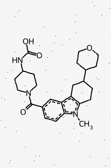 Cn1c2c(c3cc(C(=O)N4CCC(NC(=O)O)CC4)ccc31)CC(C1CCOCC1)CC2